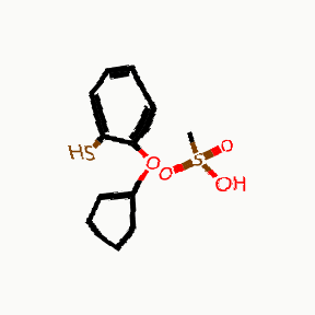 CS(=O)(=O)O.Sc1ccccc1OC1CCCC1